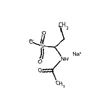 CCC(NC(C)=O)S(=O)(=O)[O-].[Na+]